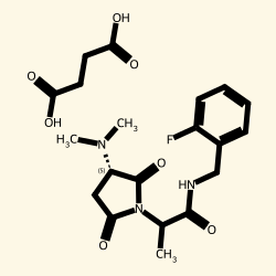 CC(C(=O)NCc1ccccc1F)N1C(=O)C[C@H](N(C)C)C1=O.O=C(O)CCC(=O)O